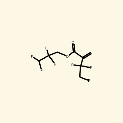 C=C(C(=O)OCC(F)(F)C(F)F)C(F)(F)CF